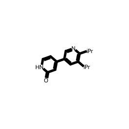 CC(C)c1cc(-c2cc[nH]c(=O)c2)cnc1C(C)C